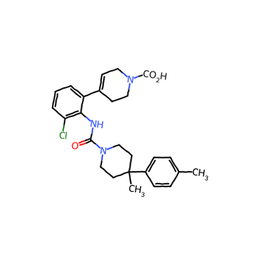 Cc1ccc(C2(C)CCN(C(=O)Nc3c(Cl)cccc3C3=CCN(C(=O)O)CC3)CC2)cc1